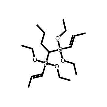 CC=C[Si](OCC)(OCC)C(CCC)[Si](C=CC)(OCC)OCC